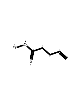 C=CCCC(=S)OCC